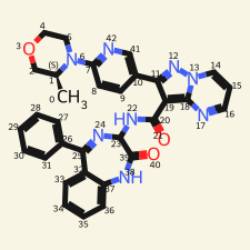 C[C@H]1COCCN1c1ccc(-c2nn3cccnc3c2C(=O)NC2N=C(c3ccccc3)c3ccccc3NC2=O)cn1